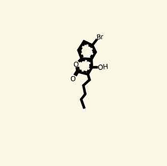 CCCCCc1c(O)c2cc(Br)ccc2oc1=O